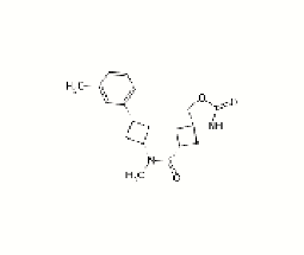 Cc1cccc([C@H]2C[C@@H](N(C)C(=O)[C@H]3C[C@]4(COC(=O)N4)C3)C2)c1